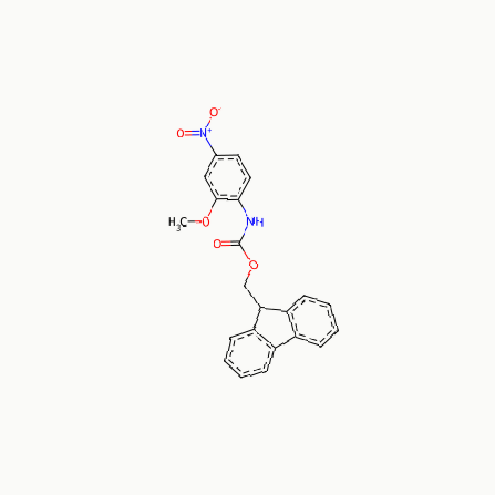 COc1cc([N+](=O)[O-])ccc1NC(=O)OCC1c2ccccc2-c2ccccc21